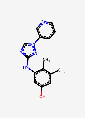 Cc1cc(O)cc(Nc2ncn(-c3cccnc3)n2)c1C